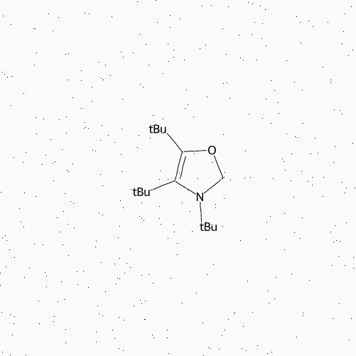 CC(C)(C)C1=C(C(C)(C)C)N(C(C)(C)C)CO1